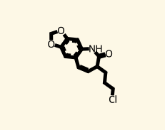 O=C1Nc2cc3c(cc2C=CC1CCCCl)OCO3